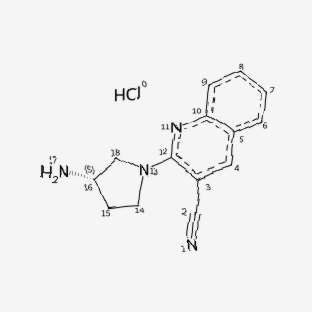 Cl.N#Cc1cc2ccccc2nc1N1CC[C@H](N)C1